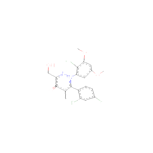 COc1cc(OC)c(Cl)c(-n2nc(CO)c(=O)c(C)c2-c2ccc(F)cc2F)c1